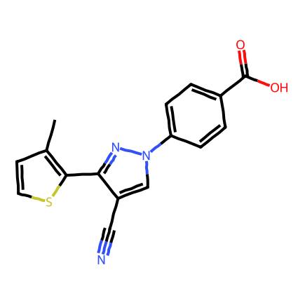 Cc1ccsc1-c1nn(-c2ccc(C(=O)O)cc2)cc1C#N